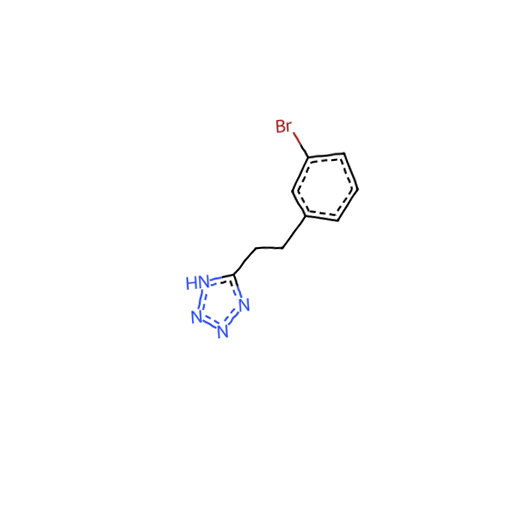 Brc1cccc(CCc2nnn[nH]2)c1